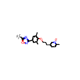 Cc1cc(-c2noc(C(F)(F)F)n2)cc(C)c1OCCCc1ccc(C)[n+]([O-])c1